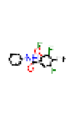 CCc1c(F)cc(C(=O)Nc2ccccc2)c(OF)c1F